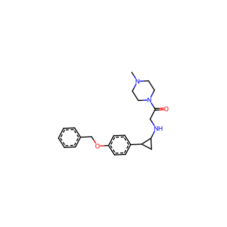 CN1CCN(C(=O)CNC2CC2c2ccc(OCc3ccccc3)cc2)CC1